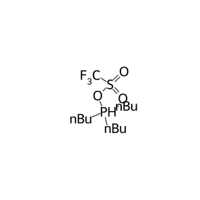 CCCC[PH](CCCC)(CCCC)OS(=O)(=O)C(F)(F)F